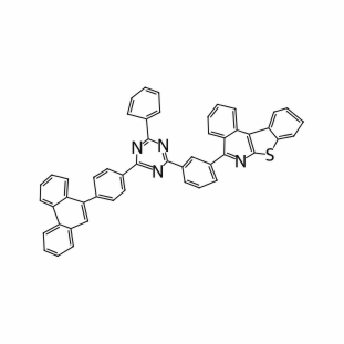 c1ccc(-c2nc(-c3ccc(-c4cc5ccccc5c5ccccc45)cc3)nc(-c3cccc(-c4nc5sc6ccccc6c5c5ccccc45)c3)n2)cc1